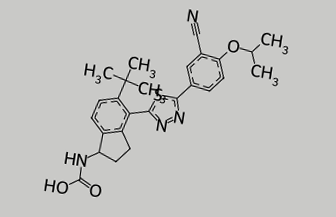 CC(C)Oc1ccc(-c2nnc(-c3c(C(C)(C)C)ccc4c3CCC4NC(=O)O)s2)cc1C#N